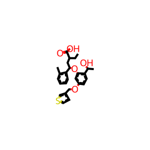 CCC(CC(Oc1cc(OCc2ccsc2)ccc1C(C)O)c1ccccc1C)C(=O)O